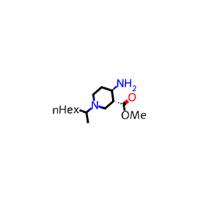 CCCCCCC(C)N1CC[C@@H](N)[C@H](C(=O)OC)C1